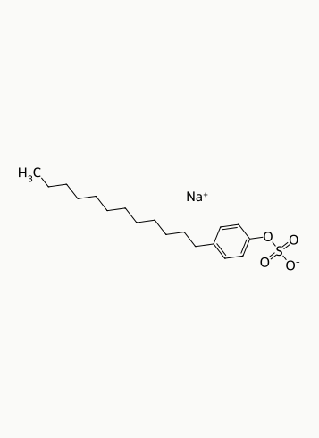 CCCCCCCCCCCCc1ccc(OS(=O)(=O)[O-])cc1.[Na+]